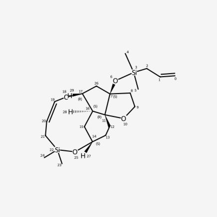 C=CC[Si](C)(C)O[C@@]12CCO[C@@]13CC[C@H]1C[C@H]3[C@H](CC=CC[Si](C)(C)O1)C2